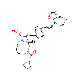 COc1ccccc1C#Cc1ccc([C@@H]2[C@H](CO)N3CCCCN(C(=O)C4CCC4)C[C@@H]23)cc1